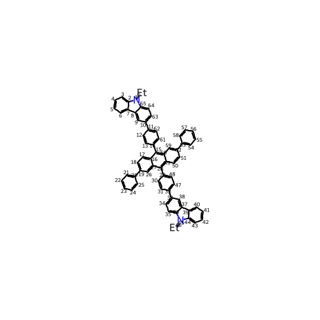 CCn1c2ccccc2c2cc(-c3ccc(-c4c5ccc(-c6ccccc6)cc5c(-c5ccc(-c6ccc7c(c6)c6ccccc6n7CC)cc5)c5ccc(-c6ccccc6)cc45)cc3)ccc21